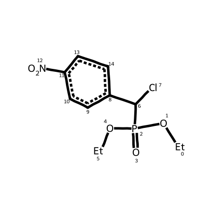 CCOP(=O)(OCC)C(Cl)c1ccc([N+](=O)[O-])cc1